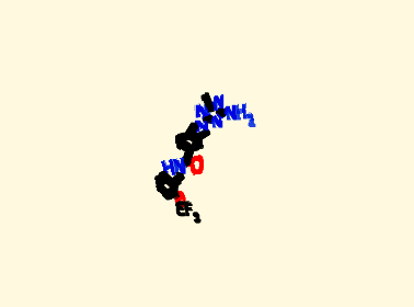 Cc1nc(N)nc(N2Cc3ccc(C(=O)NCc4ccccc4OC(F)(F)F)cc3C2)n1